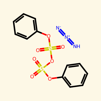 O=S(=O)(Oc1ccccc1)OS(=O)(=O)Oc1ccccc1.[N-]=[N+]=N